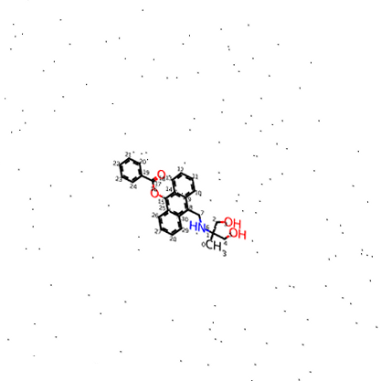 CC(CO)(CO)NCc1c2ccccc2c(OC(=O)c2ccccc2)c2ccccc12